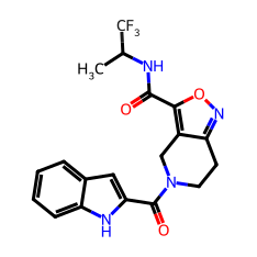 CC(NC(=O)c1onc2c1CN(C(=O)c1cc3ccccc3[nH]1)CC2)C(F)(F)F